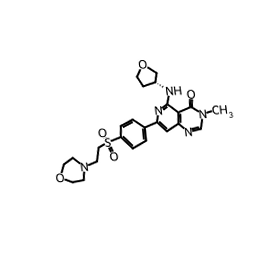 Cn1cnc2cc(-c3ccc(S(=O)(=O)CCN4CCOCC4)cc3)nc(N[C@@H]3CCOC3)c2c1=O